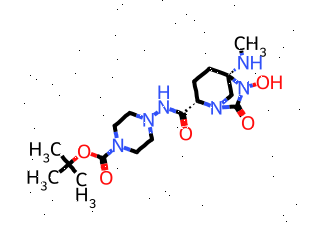 CN[C@@]12CC[C@@H](C(=O)NN3CCN(C(=O)OC(C)(C)C)CC3)N(C1)C(=O)N2O